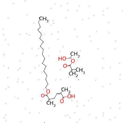 C=C(C)C(=O)OC(C)O.C=C(CC=C(C)C(=O)O)C(=O)OCCCCCCCCCCCCCCCCCC